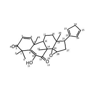 CC1(C)C(=O)C=CC2(C)C1=C(O)C(=O)C1(C)C2CCC2(C)C(C3=CCC=C3)CC3OC321